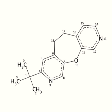 CC(C)(C)c1cc2c(cn1)Oc1cnccc1CC2